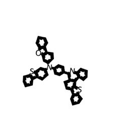 c1ccc2c(c1)nc(-c1ccc(N(c3ccc4c(c3)oc3ccccc34)c3ccc4c(c3)sc3ccccc34)cc1)c1ccc3c4ccccc4sc3c12